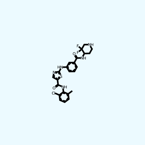 Cc1cccc(Cl)c1NC(=O)c1cnc(Nc2cccc(C(=O)NC3CCNCC3(F)F)c2)s1